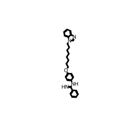 N=C(Nc1ccc(OCCCCCCCCn2cnc3ccccc32)cc1)c1ccccc1